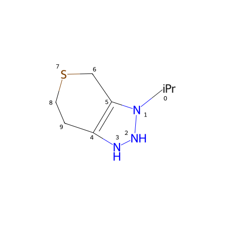 CC(C)N1NNC2=C1CSCC2